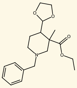 CCOC(=O)C1(C)CN(Cc2ccccc2)CCC1C1OCCO1